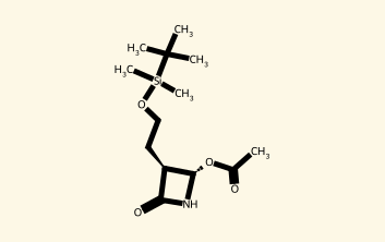 CC(=O)O[C@@H]1NC(=O)[C@H]1CCO[Si](C)(C)C(C)(C)C